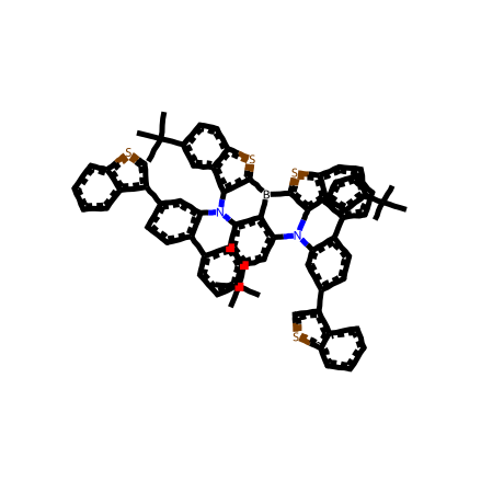 CC(C)(C)c1cc2c3c(c1)N(c1cc(-c4csc5ccccc45)ccc1-c1ccccc1)c1c(sc4ccc(C(C)(C)C)cc14)B3c1sc3ccc(C(C)(C)C)cc3c1N2c1cc(-c2csc3ccccc23)ccc1-c1ccccc1